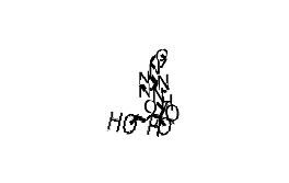 OCC[C@H]1O[C@@H](n2cnc3c(N4CCOCC4)ncnc32)[C@@H]2OCO[C@@H]21